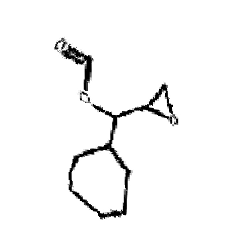 O=COC(C1CCCCC1)C1CO1